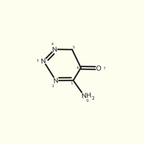 NC1=NN=NCC1=O